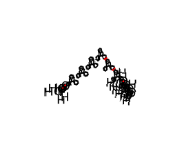 O=[PH](O)F.O=[PH](O)F.O=[PH](O)F.O=[PH](O)F.O=[PH](O)F.O=[PH](O)F.c1ccc(P(c2ccccc2)c2ccccc2)cc1.c1ccc(P(c2ccccc2)c2ccccc2)cc1.c1ccc(P(c2ccccc2)c2ccccc2)cc1.c1ccc(P(c2ccccc2)c2ccccc2)cc1.c1ccc(P(c2ccccc2)c2ccccc2)cc1.c1ccc(P(c2ccccc2)c2ccccc2)cc1